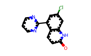 O=c1ccc2c(-c3ncccn3)cc(Cl)cc2[nH]1